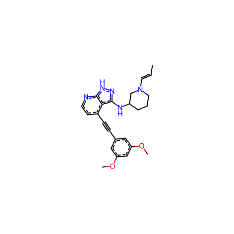 CC=CN1CCCC(Nc2n[nH]c3nccc(C#Cc4cc(OC)cc(OC)c4)c23)C1